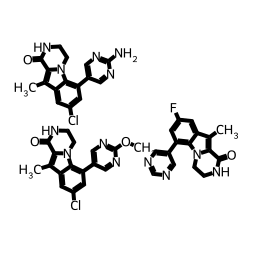 COc1ncc(-c2cc(Cl)cc3c(C)c4n(c23)CCNC4=O)cn1.Cc1c2n(c3c(-c4cnc(N)nc4)cc(Cl)cc13)CCNC2=O.Cc1c2n(c3c(-c4cncnc4)cc(F)cc13)CCNC2=O